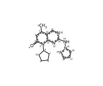 Cc1cc(=O)n(C2CCCC2)c2nc(Nn3cccn3)ncc12